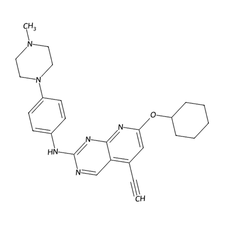 C#Cc1cc(OC2CCCCC2)nc2nc(Nc3ccc(N4CCN(C)CC4)cc3)ncc12